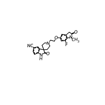 CN1C(=O)Cc2cc(OCCN3CCC4(CC3)C(=O)Nc3ccc(C#N)cc34)cc(F)c21